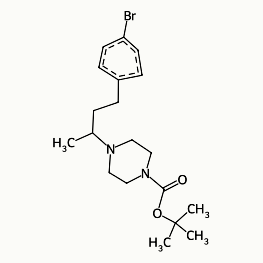 CC(CCc1ccc(Br)cc1)N1CCN(C(=O)OC(C)(C)C)CC1